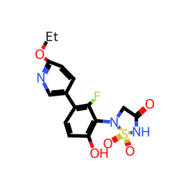 CCOc1ccc(-c2ccc(O)c(N3CC(=O)NS3(=O)=O)c2F)cn1